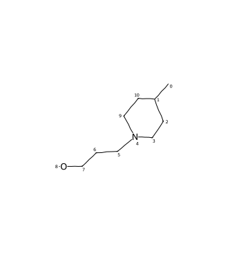 CC1CCN(CCC[O])CC1